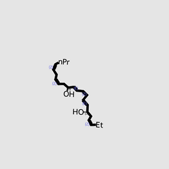 CC/C=C\C[C@H](O)/C=C/C=C\C=C\[C@@H](O)C/C=C\C/C=C\CCC